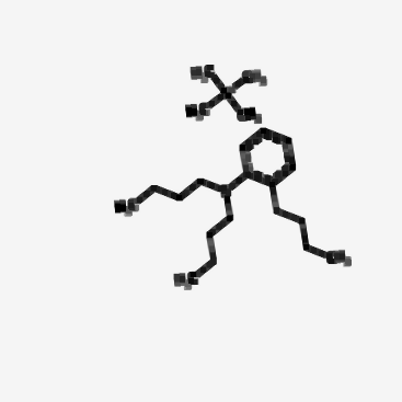 CCCCB(CCCC)c1ccccc1CCCC.C[N+](C)(C)C